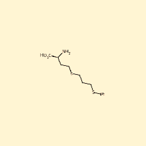 CC(C)SCCCSCC[C@H](N)C(=O)O